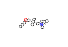 CC1(C)c2ccccc2-c2ccc3c4cc(-c5c6ccccc6c(-c6ccc7oc8cc9cc%10ccccc%10cc9cc8c7c6)c6ccccc56)ccc4n(-c4ccccc4)c3c21